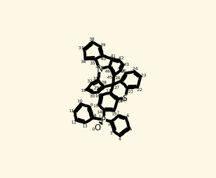 O=P(c1ccccc1)(c1ccccc1)c1ccc2c(c1)Sc1ccccc1C21c2ccccc2-n2c3ccccc3c3cccc1c32